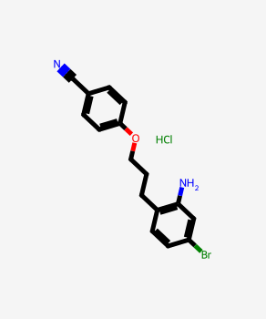 Cl.N#Cc1ccc(OCCCc2ccc(Br)cc2N)cc1